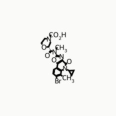 Cc1c(Br)ccc2c3oc(N(C)C(=O)[C@H]4CN(C(=O)O)CCO4)nc3c(=O)n(C3CC3)c12